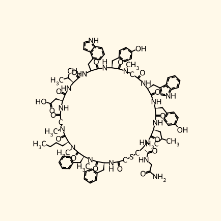 CCCC[C@H]1C(=O)N(C)CC(=O)N[C@@H](CC(=O)O)C(=O)N[C@@H](C(C)C)C(=O)NC(Cc2cccc3[nH]ccc23)C(=O)N[C@@H](Cc2ccc(O)cc2)C(=O)N(C)CC(=O)N[C@@H](Cc2c[nH]c3ccccc23)C(=O)N[C@@H](Cc2ccc(O)cc2)C(=O)N[C@@H](CC(C)C)C(=O)N[C@H](C(=O)NCC(N)=O)CSCC(=O)N[C@@H](Cc2ccccc2)C(=O)N(C)[C@@H](Cc2ccccc2)C(=O)N1C